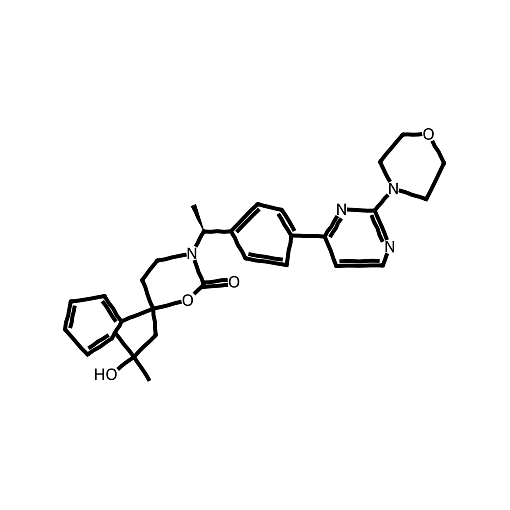 C[C@@H](c1ccc(-c2ccnc(N3CCOCC3)n2)cc1)N1CCC(CC(C)(C)O)(c2ccccc2)OC1=O